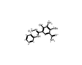 CCCCc1c(C(N)=O)cc(C(=N[N+](=O)[O-])Nc2cccnc2)c(Cl)c1N